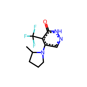 C[C]1CCCN1c1cn[nH]c(=O)c1C(F)(F)F